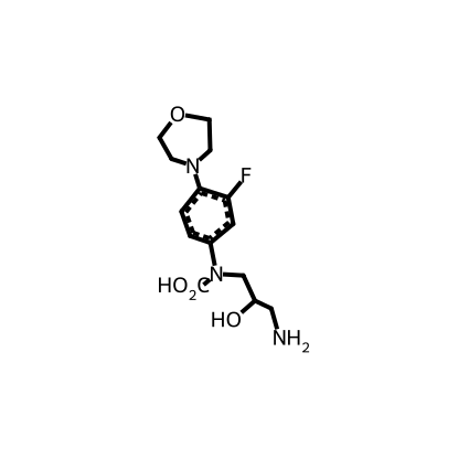 NCC(O)CN(C(=O)O)c1ccc(N2CCOCC2)c(F)c1